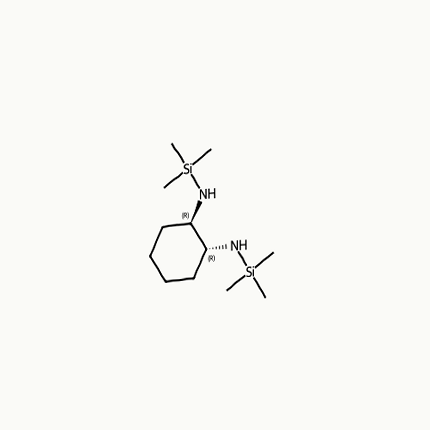 C[Si](C)(C)N[C@@H]1CCCC[C@H]1N[Si](C)(C)C